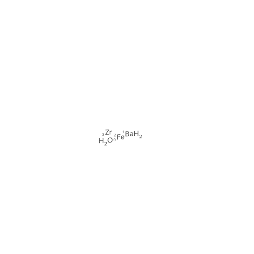 O.[BaH2].[Fe].[Zr]